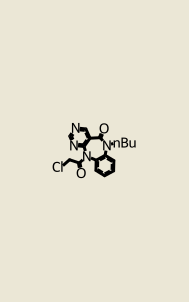 CCCCN1C(=O)c2cncnc2N(C(=O)CCl)c2ccccc21